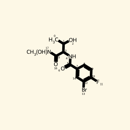 CC(O)C(NC(=O)c1ccc(F)c(Br)c1)C(=O)N(C)O